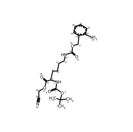 CC(C)(C)OC(=O)NC(CCCCNC(=O)OCc1ccccc1N)C(=O)OCC#N